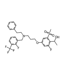 CC(O)c1c(F)cc(OCCCN(CCc2ccccc2)Cc2cccc(C(F)(F)F)c2F)cc1S(C)(=O)=O